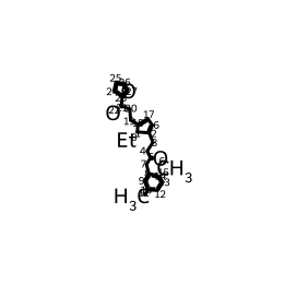 CCC1C(CCC(=O)Cc2cc(C)ccc2C)=CC=C1CCC(=O)c1ccco1